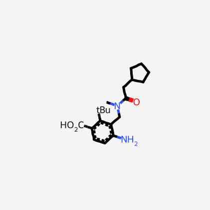 CN(Cc1c(N)ccc(C(=O)O)c1C(C)(C)C)C(=O)CC1CCCC1